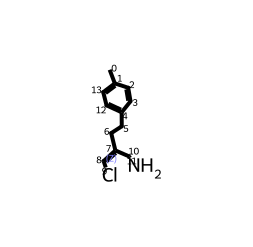 Cc1ccc(CC/C(=C/Cl)CN)cc1